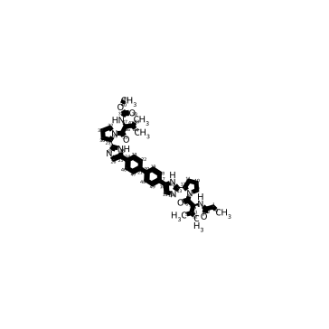 CCC(=O)N[C@H](C(=O)N1CCC[C@H]1c1ncc(-c2ccc(-c3ccc(-c4cnc([C@@H]5CCCN5C(=O)[C@@H](NC(=O)OC)C(C)C)[nH]4)cc3)cc2)[nH]1)C(C)C